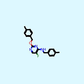 Cc1ccc(CNc2nc(OCc3ccc(C)cc3)ncc2F)cc1